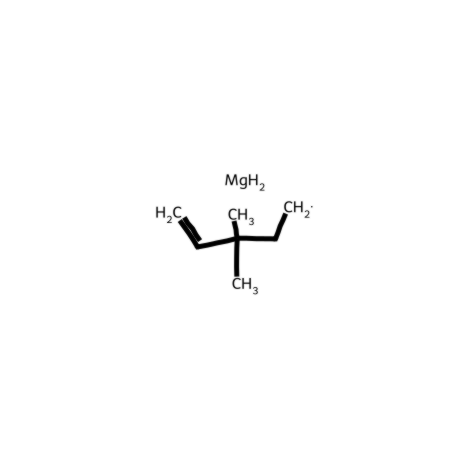 [CH2]CC(C)(C)C=C.[MgH2]